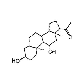 CC(=O)C1CCC2C3CCC4CC(O)CC[C@]4(C)C3C(O)CC12C